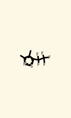 Cc1nsc(C(F)(F)C(F)(F)F)c1C